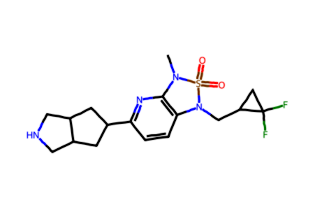 CN1c2nc(C3CC4CNCC4C3)ccc2N(CC2CC2(F)F)S1(=O)=O